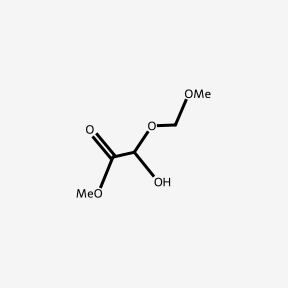 COCOC(O)C(=O)OC